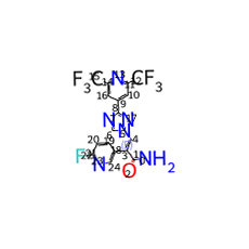 NC(=O)/C(=C/n1cnc(-c2cc(C(F)(F)F)nc(C(F)(F)F)c2)n1)c1ccc(F)nc1